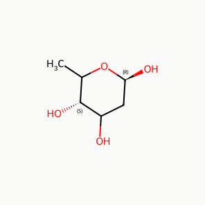 CC1O[C@@H](O)CC(O)[C@@H]1O